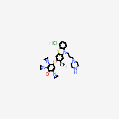 Cl.FC(F)(F)c1ccc2c(c1)N(CCCN1CCNCC1)c1ccccc1S2.O=C1C=C(N2CC2)C(=O)C(N2CC2)=C1N1CC1